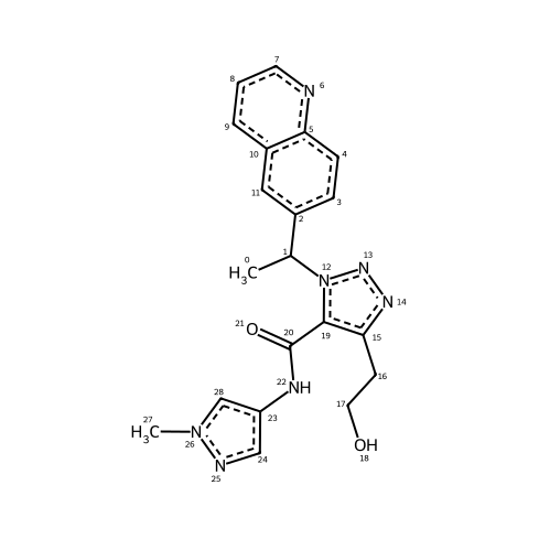 CC(c1ccc2ncccc2c1)n1nnc(CCO)c1C(=O)Nc1cnn(C)c1